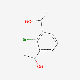 CC(O)c1cccc(C(C)O)c1Br